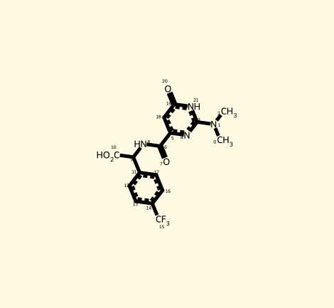 CN(C)c1nc(C(=O)NC(C(=O)O)c2ccc(C(F)(F)F)cc2)cc(=O)[nH]1